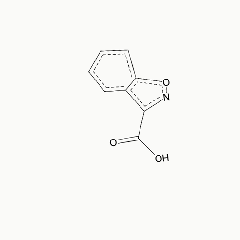 O=C(O)c1noc2ccccc12